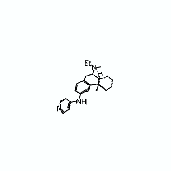 CCN(C)[C@@H]1Cc2ccc(Nc3ccncc3)cc2[C@@]2(C)CCCC[C@@H]12